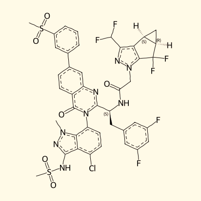 Cn1nc(NS(C)(=O)=O)c2c(Cl)ccc(-n3c([C@H](Cc4cc(F)cc(F)c4)NC(=O)Cn4nc(C(F)F)c5c4C(F)(F)[C@@H]4C[C@H]54)nc4cc(-c5cccc(S(C)(=O)=O)c5)ccc4c3=O)c21